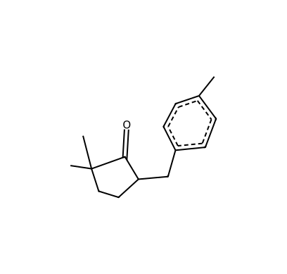 Cc1ccc(CC2CCC(C)(C)C2=O)cc1